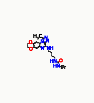 Cc1nnc2c(NCCCCNC(=O)NC(C)C)nc3cc4c(cc3n12)OCCO4